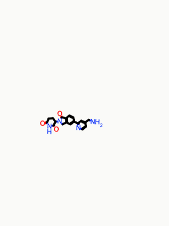 NCc1ccnc(-c2ccc3c(c2)CN(C2CCC(=O)NC2=O)C3=O)c1